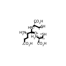 N[C@@H](CCC(=O)O)C(=O)N[C@@H](CS)C(=O)O.N[C@@H](CS)C(=O)O